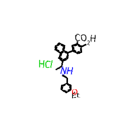 CCOc1cccc(CCNC(C)c2cc(-c3ccc(C)c(C(=O)O)c3)c3ccccc3c2)c1.Cl